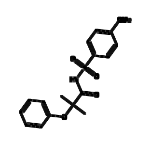 COc1ccc(S(=O)(=O)NC(=O)C(C)(C)Oc2ccccc2)cc1